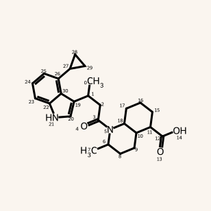 CC(CC(=O)N1C(C)CCC2C(C(=O)O)CCCC21)c1c[nH]c2cccc(C3CC3)c12